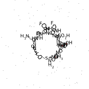 CC(C)C[C@H]1NC(=O)[C@H](CCCCN)NC(=O)CCSCc2cccc(c2)CSC[C@@H](C(N)=O)NC(=O)[C@]2(C)CCCN2C(=O)[C@H](Cc2ccc(O)cc2)NC(O)[C@H](Cc2cnc[nH]2)NC(=O)[C@H](CC(=O)O)NC(=O)[C@H](Cc2c[nH]c3ccc(F)cc23)NC(=O)[C@H](Cc2c[nH]c3ccc(F)cc23)NC1=O